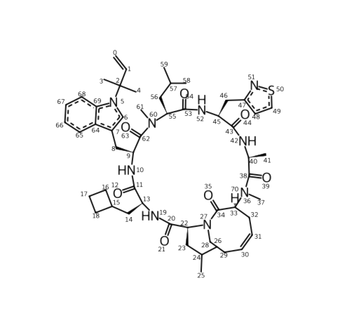 C=CC(C)(C)n1cc(C[C@@H]2NC(=O)[C@H](CC3CCC3)NC(=O)[C@H](CC(C)C)N3CC/C=C\C[C@@H](C3=O)N(C)C(=O)[C@H](C)NC(=O)[C@H](Cc3ccsn3)NC(=O)[C@H](CC(C)C)N(C)C2=O)c2ccccc21